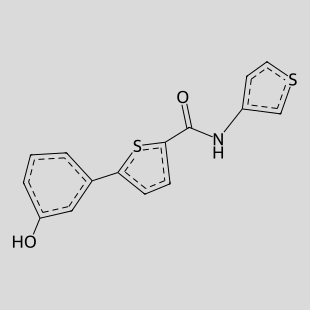 O=C(Nc1ccsc1)c1ccc(-c2cccc(O)c2)s1